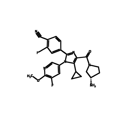 COc1ncc(-n2c(-c3ccc(C#N)c(F)c3)nc(C(=O)N3CC[C@H](N)C3)c2C2CC2)cc1F